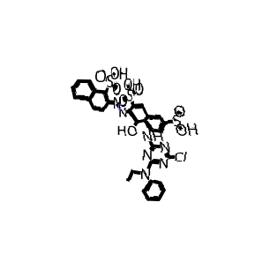 CCN(c1ccccc1)c1nc(Cl)nc(Nc2cc(S(=O)O)cc3cc(S(=O)(=O)O)c(/N=N/c4ccc5ccccc5c4S(=O)(=O)O)c(O)c23)n1